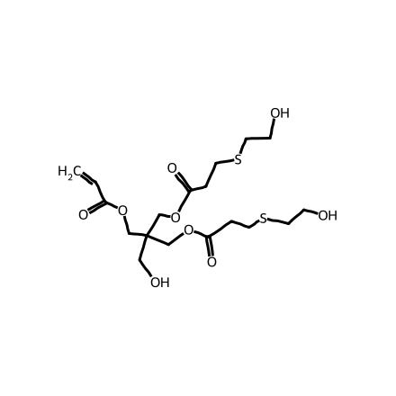 C=CC(=O)OCC(CO)(COC(=O)CCSCCO)COC(=O)CCSCCO